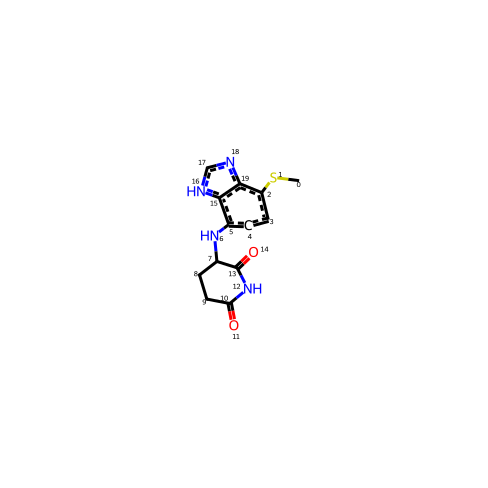 CSc1ccc(NC2CCC(=O)NC2=O)c2[nH]cnc12